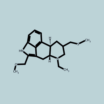 CCN1CC(CSC)C[C@@H]2c3cccc4[nH]c(COC)c(c34)C[C@H]21